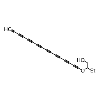 C#CC#CC#CC#CC#CC#CC#CC#COC(CC)CO